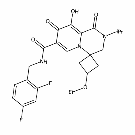 CCOC1CC2(C1)CN(C(C)C)C(=O)c1c(O)c(=O)c(C(=O)NCc3ccc(F)cc3F)cn12